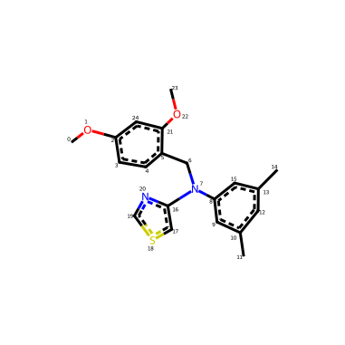 COc1ccc(CN(c2cc(C)cc(C)c2)c2cscn2)c(OC)c1